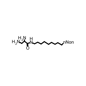 CCCCCCCCCCCCCCCCCCNC(=O)C(N)CN